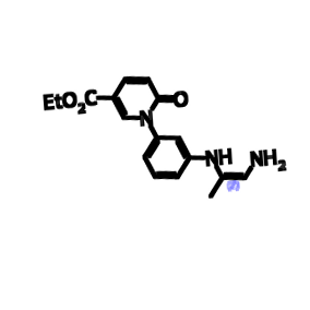 CCOC(=O)c1ccc(=O)n(-c2cccc(N/C(C)=C\N)c2)c1